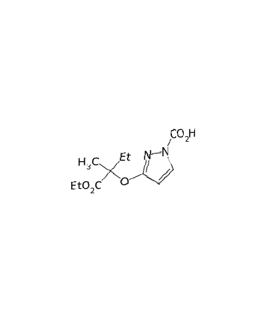 CCOC(=O)C(C)(CC)Oc1ccn(C(=O)O)n1